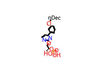 CCCCCCCCCCCOc1cccc(-c2ccnc(OC[C@H](C)OP(=O)(O)O)n2)c1